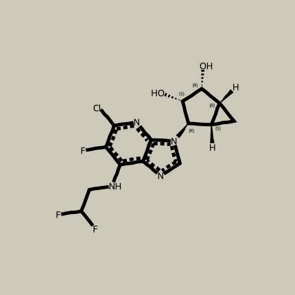 O[C@@H]1[C@H](O)[C@@H]2C[C@@H]2[C@H]1n1cnc2c(NCC(F)F)c(F)c(Cl)nc21